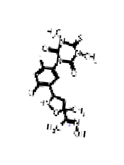 C/C(=N\O)C1(C)CC(c2cc(-n3c(=O)n(C)c(=S)n(C)c3=O)c(F)cc2Cl)NO1